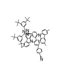 Cc1ccc2c(c1)c1cc(C)ccc1n2-c1ccc(-c2nc(-c3cc(C(C)(C)C)cc(C(C)(C)C)c3)nc(-c3cc(C(C)(C)C)cc(C(C)(C)C)c3)n2)cc1-c1ccc(-c2ccc(C#N)cc2)cc1-n1c2ccc(C)cc2c2cc(C)ccc21